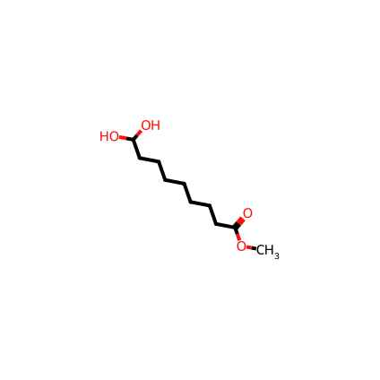 COC(=O)CCCCCCCC(O)O